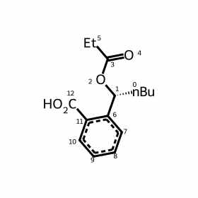 CCCC[C@@H](OC(=O)CC)c1ccccc1C(=O)O